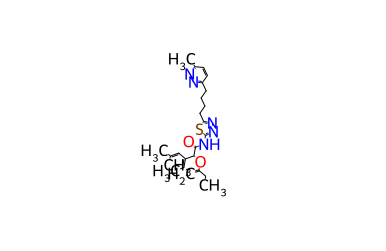 C=C(CC)OC(C(=O)Nc1nnc(CCCCc2ccc(C)nn2)s1)/C(C=C(C)C)=C/C